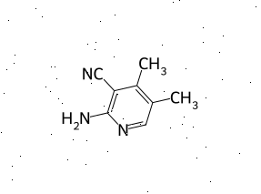 Cc1cnc(N)c(C#N)c1C